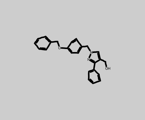 OCc1cn(Cc2ccc(OCc3ccccc3)cc2)nc1-c1ccccc1